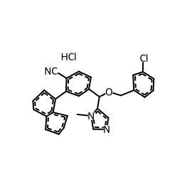 Cl.Cn1cncc1C(OCc1cccc(Cl)c1)c1ccc(C#N)c(-c2cccc3ccccc23)c1